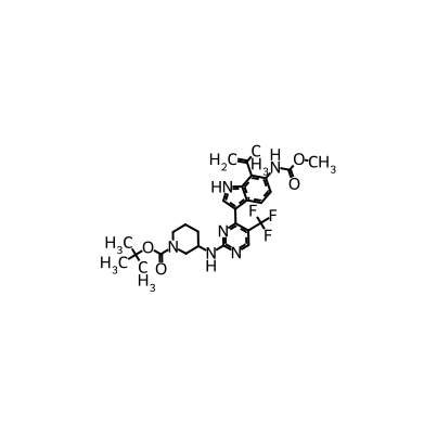 C=C(C)c1c(NC(=O)OC)ccc2c(-c3nc(NC4CCCN(C(=O)OC(C)(C)C)C4)ncc3C(F)(F)F)c[nH]c12